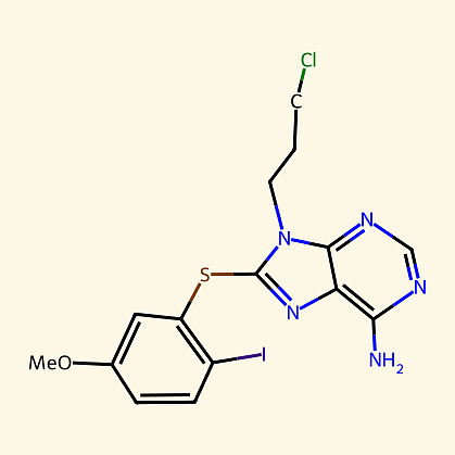 COc1ccc(I)c(Sc2nc3c(N)ncnc3n2CCCCl)c1